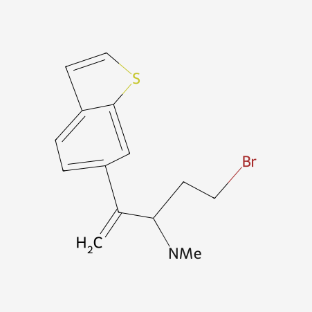 C=C(c1ccc2ccsc2c1)C(CCBr)NC